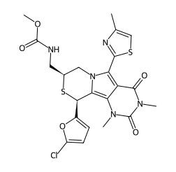 COC(=O)NC[C@H]1Cn2c(-c3nc(C)cs3)c3c(=O)n(C)c(=O)n(C)c3c2[C@@H](c2ccc(Cl)o2)S1